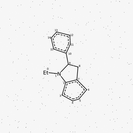 CCN1c2ccccc2CC1c1ccccc1